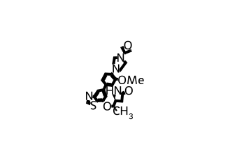 COc1cc(-c2cc(O[C@H](C)[C@H]3CNC(=O)C3)c3scnc3c2)ccc1N1CCN(C2COC2)CC1